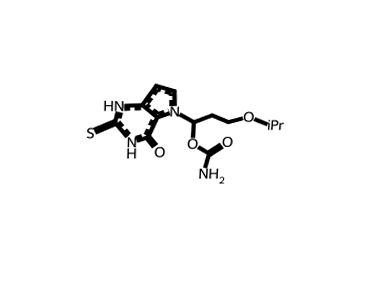 CC(C)OCCC(OC(N)=O)n1ccc2[nH]c(=S)[nH]c(=O)c21